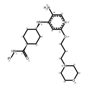 CC(C)NC(=O)[C@H]1CC[C@@H](Nc2cc(OCCCN3CCOCC3)ncc2N)CC1